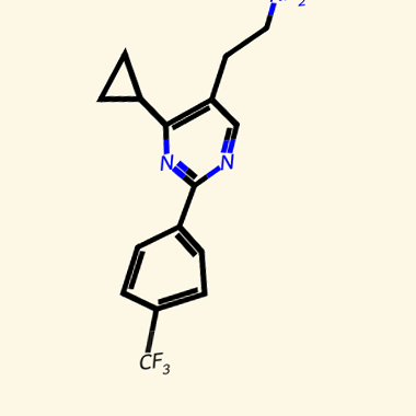 NCCc1cnc(-c2ccc(C(F)(F)F)cc2)nc1C1CC1